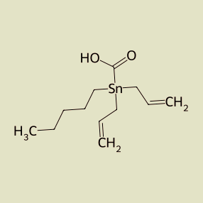 C=C[CH2][Sn]([CH2]C=C)([CH2]CCCC)[C](=O)O